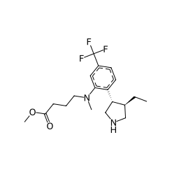 CC[C@H]1CNC[C@@H]1c1ccc(C(F)(F)F)cc1N(C)CCCC(=O)OC